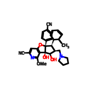 COc1nc(C#N)cc2c1[C@]1(O)[C@H](O)[C@H](CN3CCCC3)[C@@H](C3C=CC=CC3C)[C@]1(c1ccc(C#N)cc1)O2